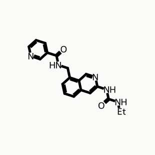 CCNC(=O)Nc1cc2cccc(CNC(=O)c3cccnc3)c2cn1